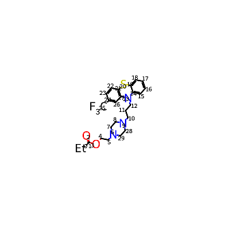 CCC(=O)OCCN1CCN(CCCN2c3ccccc3Sc3ccc(C(F)(F)F)cc32)CC1